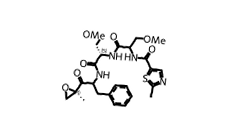 COCC(NC(=O)c1cnc(C)s1)C(=O)N[C@@H](COC)C(=O)NC(Cc1ccccc1)C(=O)[C@@]1(C)CO1